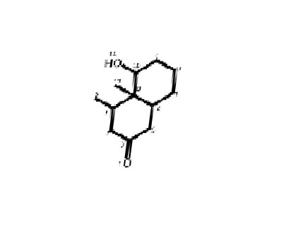 CC1CC(=O)CC2CCCC(O)C12C